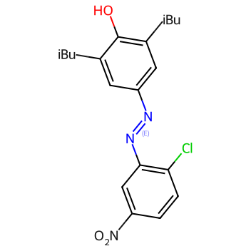 CCC(C)c1cc(/N=N/c2cc([N+](=O)[O-])ccc2Cl)cc(C(C)CC)c1O